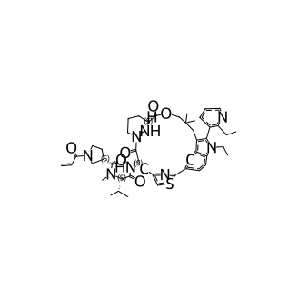 C=CC(=O)N1CC[C@H](C(=O)N(C)[C@H](C(=O)N[C@H]2Cc3csc(n3)-c3ccc4c(c3)c(c(-c3cccnc3CC)n4CC)CC(C)(C)COC(=O)[C@@H]3CCCN(N3)C2=O)C(C)C)C1